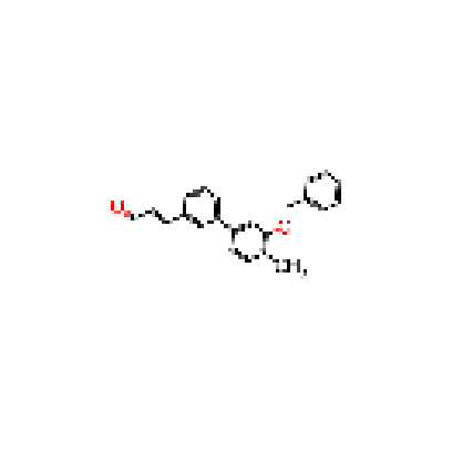 Cc1ccc(-c2cccc(C=CC=O)c2)cc1OCc1ccccc1